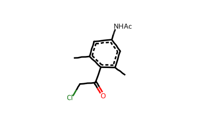 CC(=O)Nc1cc(C)c(C(=O)CCl)c(C)c1